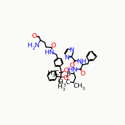 CC(C)CC(NC(=O)C(Cc1ccccc1)NC(=O)c1cnccn1)B1OC(C)(c2ccccc2)C(C)(c2ccc(CNC(=O)CCC(N)C=O)cc2)O1